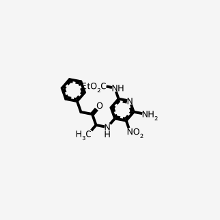 CCOC(=O)Nc1cc(NC(C)C(=O)Cc2ccccc2)c([N+](=O)[O-])c(N)n1